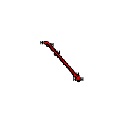 O=C(CCCCC1SCC2NC(=O)NC21)NCCOCCOCCOCCOCCOCCOCCOCCOCCOCCOCCOCCOCCC(=O)NCCCOCCOCCOCCCNC(=O)Cc1ccc(O)cc1